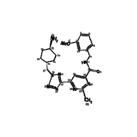 COc1cccc(CNC(=O)c2cc(-c3nnn(C[C@H]4CC[C@H](N)CC4)n3)nc(C)n2)c1